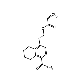 C=CC(=O)OCOc1ccc(C(C)=O)c2c1CCCC2